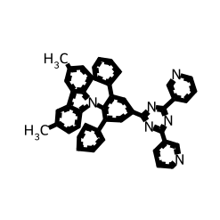 Cc1ccc2c(c1)c1cc(C)ccc1n2-c1c(-c2ccccc2)cc(-c2nc(-c3cccnc3)nc(-c3cccnc3)n2)cc1-c1ccccc1